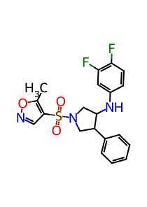 Cc1oncc1S(=O)(=O)N1CC(Nc2ccc(F)c(F)c2)C(c2ccccc2)C1